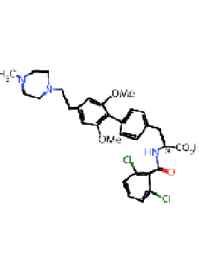 COc1cc(CCN2CCN(C)CC2)cc(OC)c1-c1ccc(C[C@H](NC(=O)c2c(Cl)cccc2Cl)C(=O)O)cc1